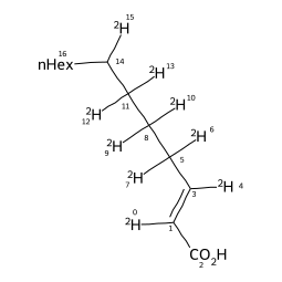 [2H]C(C(=O)O)=C([2H])C([2H])([2H])C([2H])([2H])C([2H])([2H])C([2H])CCCCCC